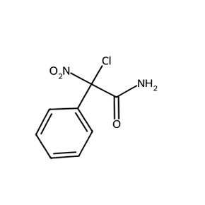 NC(=O)C(Cl)(c1ccccc1)[N+](=O)[O-]